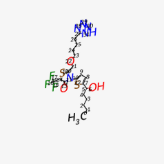 CCCCCC(O)c1ccc(N2C(=O)C(C(F)(F)F)SC2COCCCCc2nnn[nH]2)s1